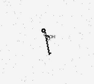 CC(C)CCCCCCCCCCC[C@H](CC(=O)O)OCc1ccccc1